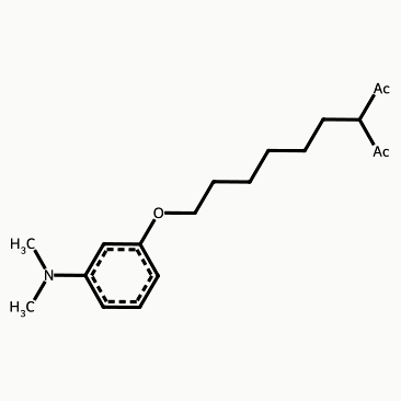 CC(=O)C(CCCCCCOc1cccc(N(C)C)c1)C(C)=O